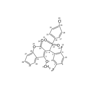 COc1c(C(c2cc(F)ccc2F)S(=O)(=O)c2ccc(Cl)cc2)c(=O)oc2ccccc12